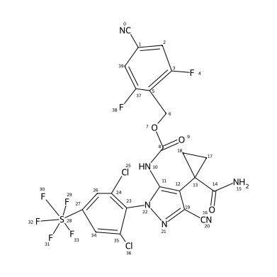 N#Cc1cc(F)c(COC(=O)Nc2c(C3(C(N)=O)CC3)c(C#N)nn2-c2c(Cl)cc(S(F)(F)(F)(F)F)cc2Cl)c(F)c1